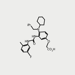 Cc1ccc(F)cc1NC(=O)Nc1cc(OCC(=O)O)ccc1N(CC(C)C)C1CCCCC1